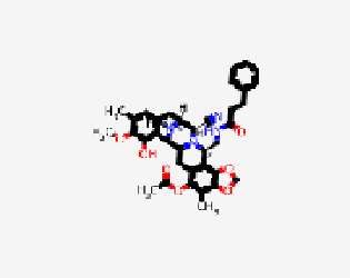 COc1c(C)cc2c(c1O)C1C3Cc4c(OC(C)=O)c(C)c5c(c4[C@H](CNC(=O)CCc4ccccc4)N3[C@@H](C#N)[C@H](C2)N1C)OCO5